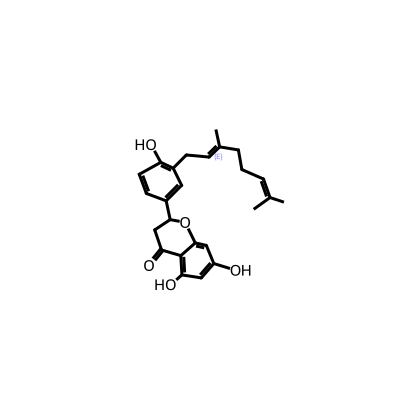 CC(C)=CCC/C(C)=C/Cc1cc(C2CC(=O)c3c(O)cc(O)cc3O2)ccc1O